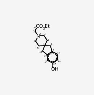 CCOC(=O)CN1CCC2(CC1)Cc1ccc(O)cc1C2